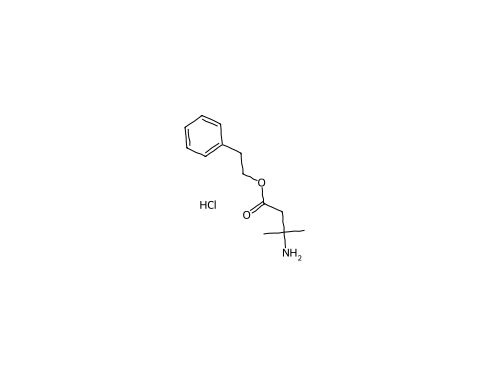 CC(C)(N)CC(=O)OCCc1ccccc1.Cl